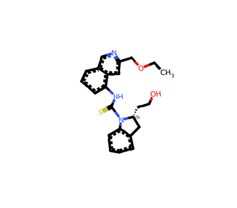 CCOCc1cc2c(NC(=S)N3c4ccccc4C[C@H]3CCO)cccc2cn1